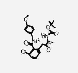 COc1ccc(NC(=O)c2c(Cl)cccc2CC(=O)[C@H](C)NC(=O)OC(C)(C)C)cc1